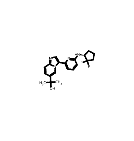 CC(C)(O)c1ccc2ncc(-c3cccc(N[C@H]4CCCC4(F)F)n3)n2c1